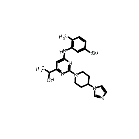 Cc1ccc(C(C)(C)C)cc1Nc1cc(C(C)O)nc(N2CCC(n3ccnc3)CC2)n1